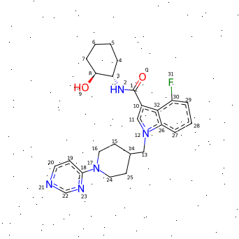 O=C(N[C@H]1CCCC[C@@H]1O)c1cn(CC2CCN(c3ccncn3)CC2)c2cccc(F)c12